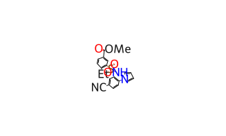 CCc1ccc(C(=O)OC)cc1S(=O)(=O)Nc1cc(C#N)ccc1-n1cccc1